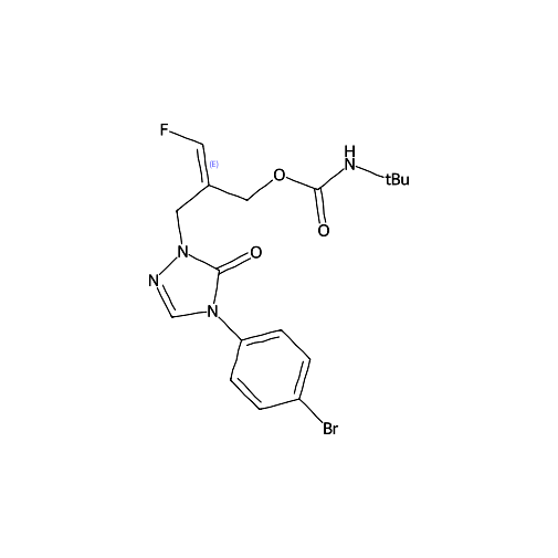 CC(C)(C)NC(=O)OC/C(=C/F)Cn1ncn(-c2ccc(Br)cc2)c1=O